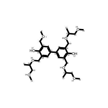 COCc1cc(-c2cc(COC(C)COC)c(O)c(COC(C)COC)c2)cc(COC(C)COC)c1O